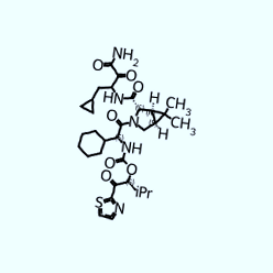 CC(C)[C@H](OC(=O)N[C@H](C(=O)N1C[C@H]2[C@@H]([C@H]1C(=O)NC(CC1CC1)C(=O)C(N)=O)C2(C)C)C1CCCCC1)C(=O)c1nccs1